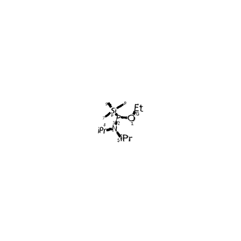 CCOP(N(C(C)C)C(C)C)[Si](C)(C)C